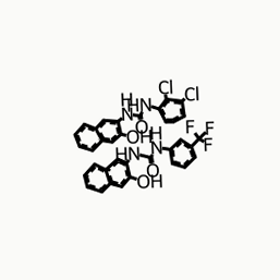 O=C(Nc1cc2ccccc2cc1O)Nc1cccc(Cl)c1Cl.O=C(Nc1cccc(C(F)(F)F)c1)Nc1cc2ccccc2cc1O